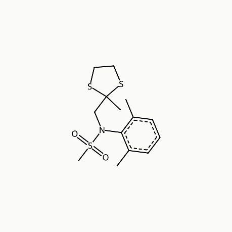 Cc1cccc(C)c1N(CC1(C)SCCS1)S(C)(=O)=O